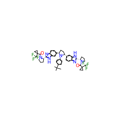 CC(C)(C)c1ccc(N2[C@@H](c3ccc4nc([C@@H]5CCCN5C(=O)C5(C(F)(F)F)CC5)[nH]c4c3)CC[C@@H]2c2ccc3nc([C@@H]4CCCN4C(=O)C4(C(F)(F)F)CC4)[nH]c3c2)cc1